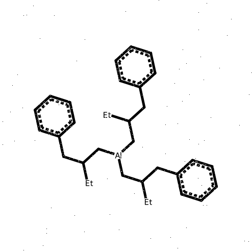 CCC(Cc1ccccc1)[CH2][Al]([CH2]C(CC)Cc1ccccc1)[CH2]C(CC)Cc1ccccc1